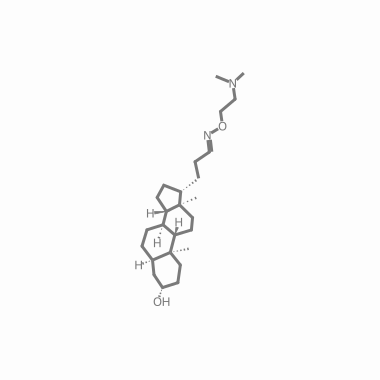 CN(C)CCO/N=C/CC[C@H]1CC[C@H]2[C@@H]3CC[C@@H]4C[C@@H](O)CC[C@]4(C)[C@H]3CC[C@]12C